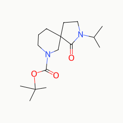 CC(C)N1CCC2(CCCN(C(=O)OC(C)(C)C)C2)C1=O